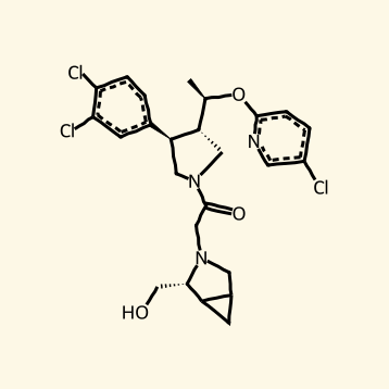 C[C@@H](Oc1ccc(Cl)cn1)[C@@H]1CN(C(=O)CN2CC3CC3[C@@H]2CO)C[C@H]1c1ccc(Cl)c(Cl)c1